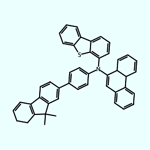 CC1(C)C2=C(C=CCC2)c2ccc(-c3ccc(N(C4=Cc5ccccc5C5C=CC=CC45)c4cccc5c4sc4ccccc45)cc3)cc21